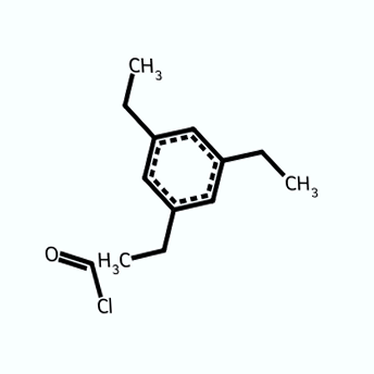 CCc1cc(CC)cc(CC)c1.O=CCl